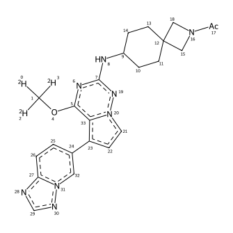 [2H]C([2H])([2H])Oc1nc(NC2CCC3(CC2)CN(C(C)=O)C3)nn2ccc(-c3ccc4ncnn4c3)c12